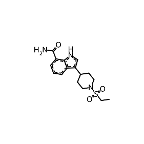 CCS(=O)(=O)N1CCC(c2c[nH]c3c(C(N)=O)cccc23)CC1